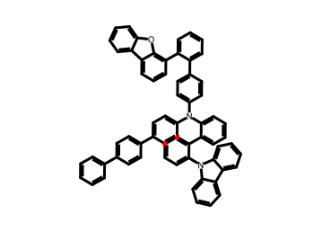 c1ccc(-c2ccc(-c3ccc(N(c4ccc(-c5ccccc5-c5cccc6c5oc5ccccc56)cc4)c4ccccc4-c4ccccc4-n4c5ccccc5c5ccccc54)cc3)cc2)cc1